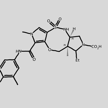 CCC1N(C(=O)O)C[C@@H]2NS(=O)(=O)c3cn(C)c(C(=O)Nc4ccc(F)c(C)c4)c3OC[C@]12C